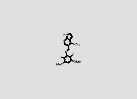 CNc1c(C=Nc2c(F)c(OC)cc(OC)c2F)cnc2[nH]ccc12